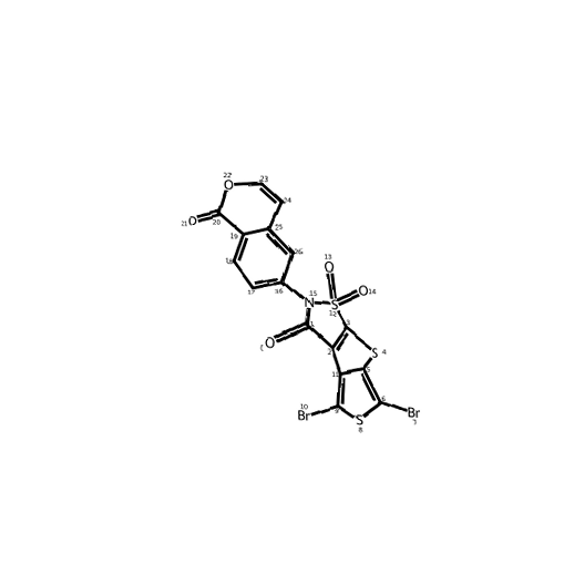 O=C1c2c(sc3c(Br)sc(Br)c23)S(=O)(=O)N1c1ccc2c(=O)occc2c1